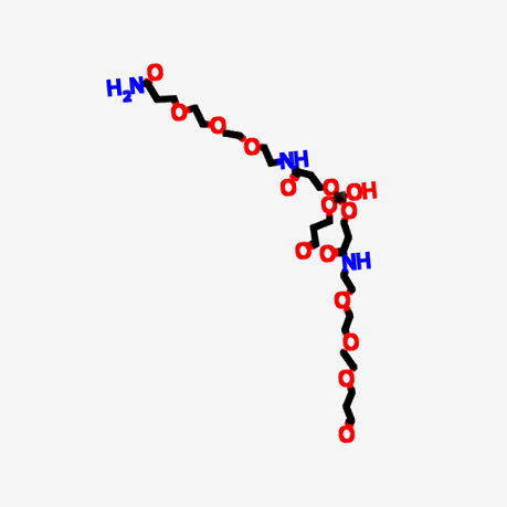 NC(=O)CCOCCOCCOCCNC(=O)CCO[C@](O)(OCCC=O)OCCC(=O)NCCOCCOCCOCCC=O